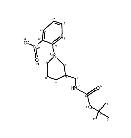 CC(C)(C)OC(=O)NCC1CCCN(c2ccccc2[N+](=O)[O-])C1